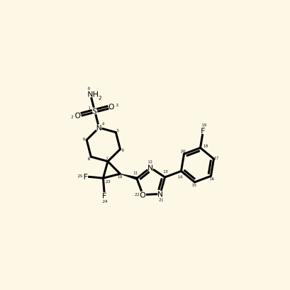 NS(=O)(=O)N1CCC2(CC1)[C@@H](c1nc(-c3cccc(F)c3)no1)C2(F)F